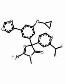 CN1C(=O)C(c2cc(OC3CC3)cc(-c3cocn3)c2)(c2ccnc(C(F)F)c2)N=C1N